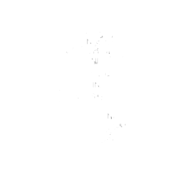 CN(c1cccc2cc(C(=O)NCC3(SCc4ccccc4)CCN(C(=O)OC(C)(C)C)CC3)[nH]c12)S(=O)(=O)c1cccs1